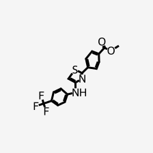 COC(=O)c1ccc(-c2nc(Nc3ccc(C(F)(F)F)cc3)cs2)cc1